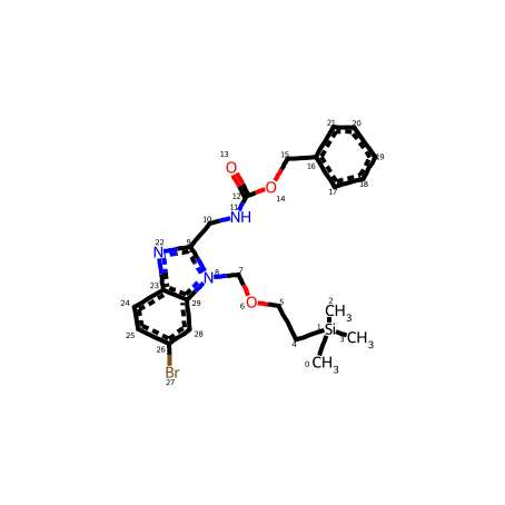 C[Si](C)(C)CCOCn1c(CNC(=O)OCc2ccccc2)nc2ccc(Br)cc21